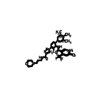 Cc1c(-n2cc(C(=O)NCCCN3CCOCC3)nn2)ccc(N2C[C@@H](C)N(C)[C@@H](C)C2)c1NC(=O)c1c[nH]c(=O)cc1C(F)(F)F